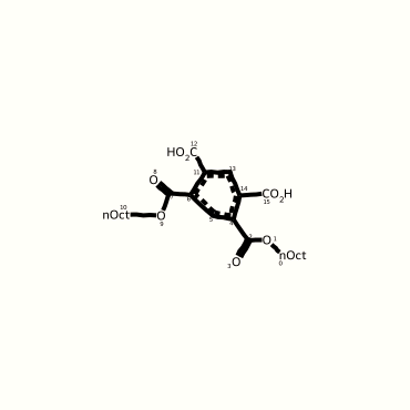 CCCCCCCCOC(=O)c1cc(C(=O)OCCCCCCCC)c(C(=O)O)cc1C(=O)O